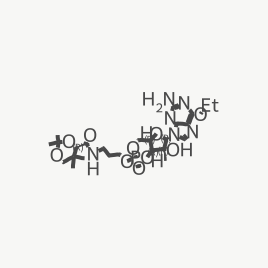 CCOc1nc(N)nc2c1ncn2[C@@H]1O[C@@H]2COP(=O)(OCCCNC(=O)[C@@H]3OC(C)(C)OCC3(C)C)O[C@H]2[C@@]1(C)O